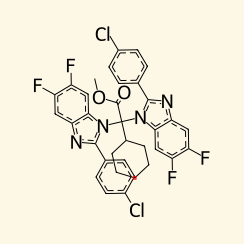 COC(=O)C(C1CCCCC1)(n1c(-c2ccc(Cl)cc2)nc2cc(F)c(F)cc21)n1c(-c2ccc(Cl)cc2)nc2cc(F)c(F)cc21